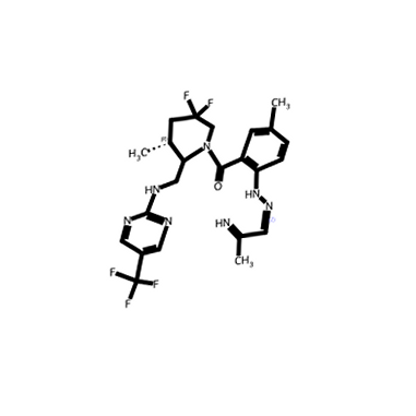 CC(=N)/C=N\Nc1ccc(C)cc1C(=O)N1CC(F)(F)C[C@@H](C)C1CNc1ncc(C(F)(F)F)cn1